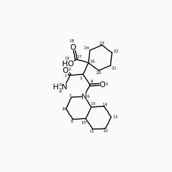 NC(=O)C(C(=O)N1CCCC2CCCCC21)C1(C(=O)O)CCCCC1